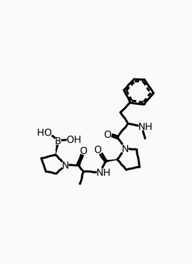 CNC(Cc1ccccc1)C(=O)N1CCC[C@H]1C(=O)NC(C)C(=O)N1CCC[C@H]1B(O)O